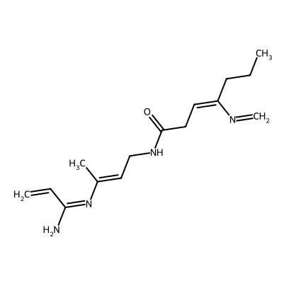 C=C/C(N)=N\C(C)=C\CNC(=O)C/C=C(/CCC)N=C